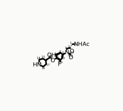 CC(=O)NC[C@H]1CN(c2ccc(OC(O)C3CCNCC3)c(F)c2)C(=O)O1